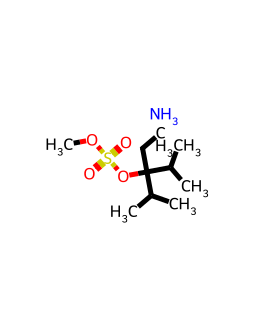 CCC(OS(=O)(=O)OC)(C(C)C)C(C)C.N